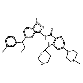 CN1CCN(c2ccc(C(=O)Nc3n[nH]c4ccc(C(CF)c5cccc(F)c5)cc34)c(NC3CCOCC3)c2)CC1